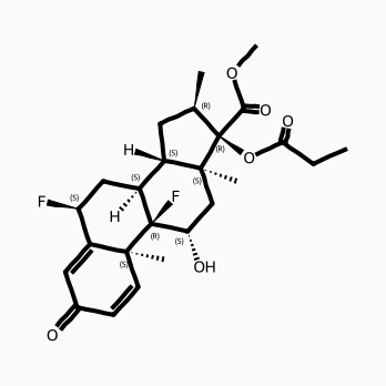 CCC(=O)O[C@]1(C(=O)OC)[C@H](C)C[C@H]2[C@@H]3C[C@H](F)C4=CC(=O)C=C[C@]4(C)[C@@]3(F)[C@@H](O)C[C@@]21C